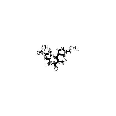 CCn1ncc2c1ncc1c(=O)[nH]c3nc([S+](C)[O-])nn3c12